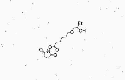 CCC(O)COCCCCCC(=O)ON1C(=O)CCC1=O